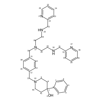 OC1(c2ccccc2)CCN(Cc2ccc(CN(CCNCc3ccccn3)CCNCc3ccccn3)cc2)CC1